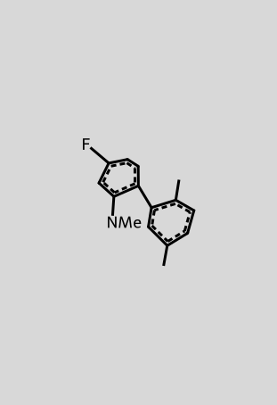 CNc1cc(F)ccc1-c1cc(C)ccc1C